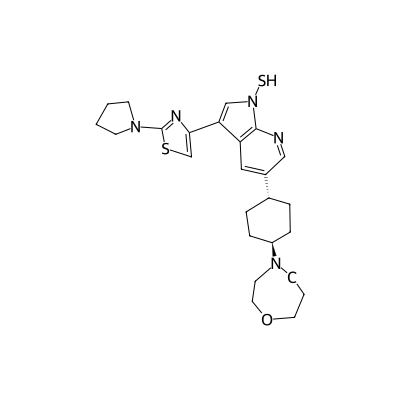 Sn1cc(-c2csc(N3CCCC3)n2)c2cc([C@H]3CC[C@H](N4CCCOCC4)CC3)cnc21